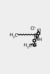 CCCCCCCCCCCCCCOc1cc(Cl)ccc1CC(=O)Nc1cccc(-c2scc[n+]2CC)c1.[Cl-]